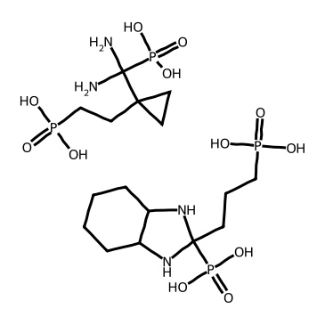 NC(N)(C1(CCP(=O)(O)O)CC1)P(=O)(O)O.O=P(O)(O)CCCC1(P(=O)(O)O)NC2CCCCC2N1